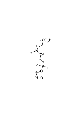 CN(CCC(=O)O)OCCC(C)(C)OCC=O